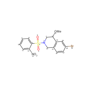 COC1CN(S(=O)(=O)c2ccccc2[N+](=O)[O-])Cc2ccc(Br)cc21